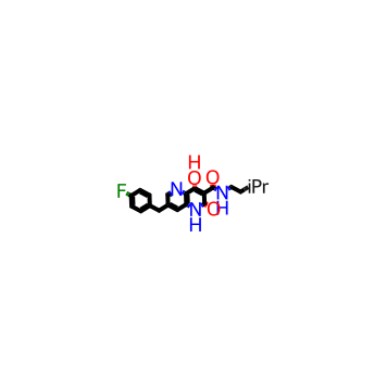 CC(C)CCNC(=O)c1c(O)c2ncc(Cc3ccc(F)cc3)cc2[nH]c1=O